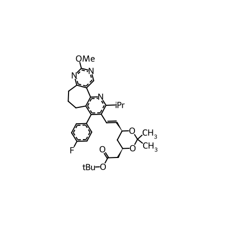 COc1ncc2c(n1)CCCc1c-2nc(C(C)C)c(/C=C/[C@@H]2C[C@H](CC(=O)OC(C)(C)C)OC(C)(C)O2)c1-c1ccc(F)cc1